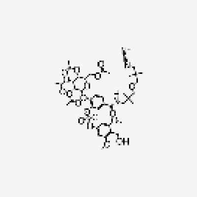 COc1cc(OS(=O)(=O)Oc2cc(C(=O)NCC(C)(C)COCC(C)(C)CN=[N+]=[N-])ccc2OC2O[C@H](COC(C)=O)[C@H](OC(C)=O)[C@H](OC(C)=O)[C@H]2OC(C)=O)cc(OC)c1CO